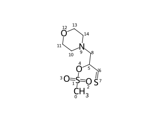 CS(=O)(=O)OC([C]=S)CN1CCOCC1